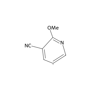 COc1nc[c]cc1C#N